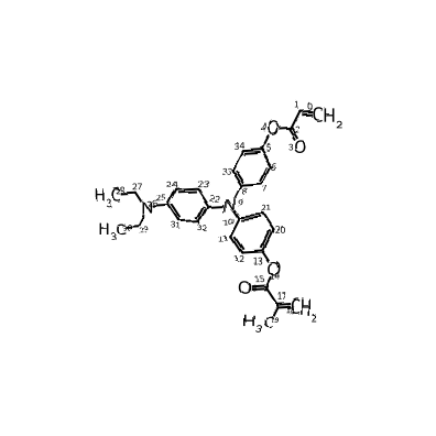 C=CC(=O)Oc1ccc(N(c2ccc(OC(=O)C(=C)C)cc2)c2ccc(N(CC)CC)cc2)cc1